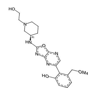 COCc1cc(C#N)cc(O)c1-c1cnc2oc(N[C@@H]3CCCN(CCO)C3)nc2n1